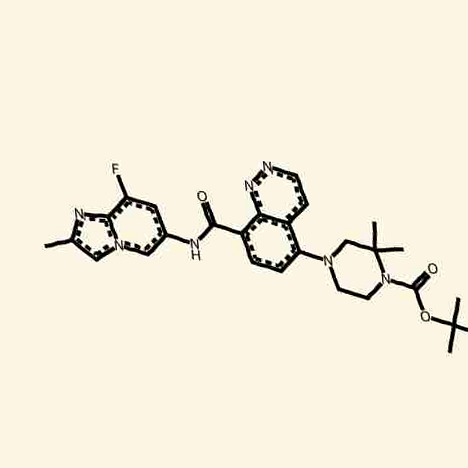 Cc1cn2cc(NC(=O)c3ccc(N4CCN(C(=O)OC(C)(C)C)C(C)(C)C4)c4ccnnc34)cc(F)c2n1